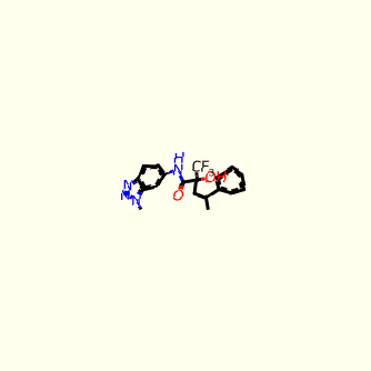 CC(CC(O)(C(=O)Nc1ccc2nnn(C)c2c1)C(F)(F)F)c1ccccc1